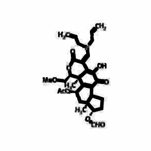 C=CCN(C=C1C(=O)O[C@H](COC)[C@@]2(C)C1=C(O)C(=O)C1=C2[C@H](OC(C)=O)C[C@@]2(C)C1CC[C@@H]2OC=O)CC=C